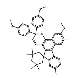 COc1ccc(C2(c3ccc(OC)cc3)C=Cc3c4c(c5cc(C)c(SC)cc5c3O2)-c2ccc(C)cc2C42CC(C)(C)CC(C)(C)C2)cc1